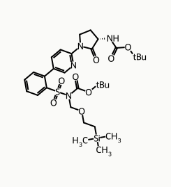 CC(C)(C)OC(=O)N[C@H]1CCN(c2ccc(-c3ccccc3S(=O)(=O)N(COCC[Si](C)(C)C)C(=O)OC(C)(C)C)cn2)C1=O